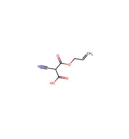 C=CCOC(=O)C(C#N)C(=O)O